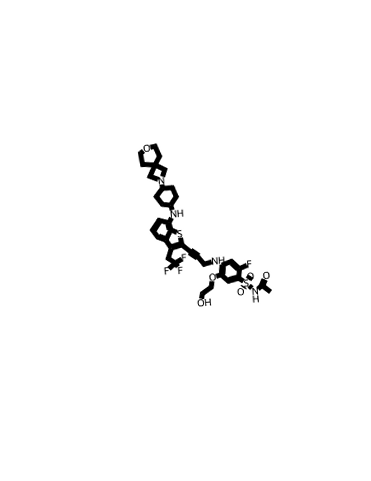 CC(=O)NS(=O)(=O)c1cc(OCCO)c(NCC#Cc2sc3c(NC4CCC(N5CC6(CCOCC6)C5)CC4)cccc3c2CC(F)(F)F)cc1F